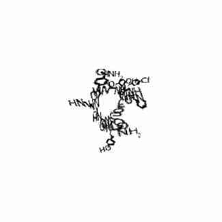 CNCCCC[C@@H]1NC(=O)[C@@H](Cc2ccc(C(N)=O)cc2)NC(=O)[C@H](Cc2ccc(O)cc2)NC(=O)[C@H](NC(=O)[C@H](Cc2ccc(Cl)cc2)NC(=O)c2ccccn2)CSSC[C@@H](C(=O)N[C@H](CCc2ccc(O)cc2)C(N)=O)NC(=O)[C@H]([C@@H](C)O)NC1=O